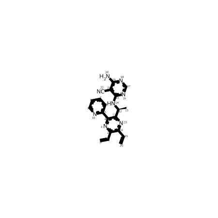 C=Cc1nc(-c2ccccn2)c([C@H](C)Nc2ncnc(N)c2C#N)nc1C=C